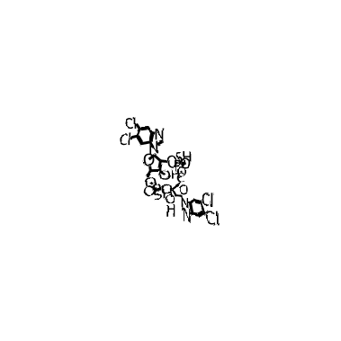 O=P1(S)OCC2OC(n3cnc4cc(Cl)c(Cl)cc43)C(OP(=O)(S)OCC3OC(n4cnc5cc(Cl)c(Cl)cc54)C(O)C3O1)C2O